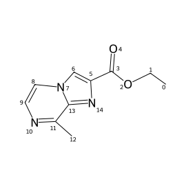 CCOC(=O)c1cn2ccnc(C)c2n1